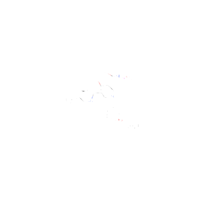 Cc1ccc(-c2cn(CC3CCOCC3)cc(C(N)=O)c2=O)nc1.O.O=S(=O)(O)O